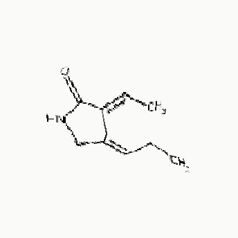 C/C=C1/C(=O)NC/C1=C/CC